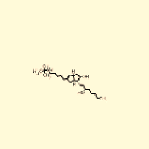 CCCCC[C@H](O)/C=C/[C@@H]1[C@H]2CC(CCCCCNC(C)(C)C)=C[C@H]2C[C@H]1O